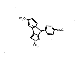 COc1ccc(-n2c3ccc(C(=O)O)cc3c3cn(C)nc32)cn1